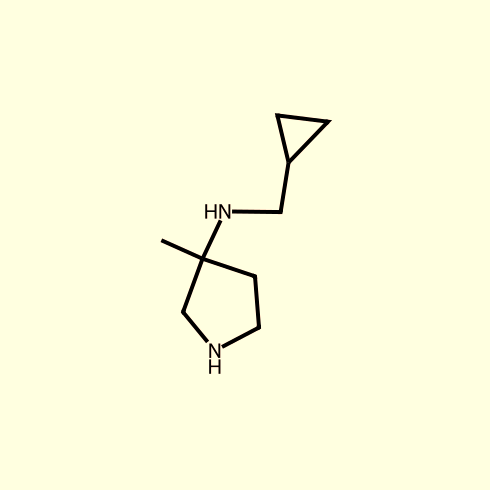 CC1(NCC2CC2)CCNC1